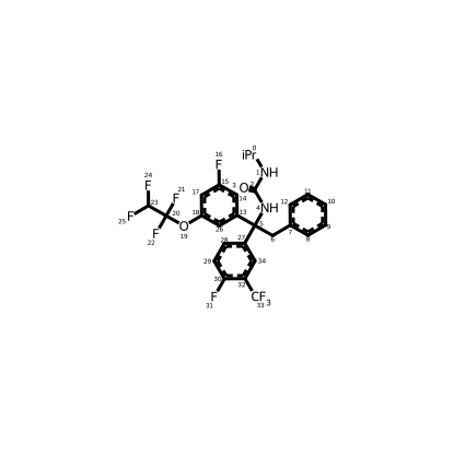 CC(C)NC(=O)NC(Cc1ccccc1)(c1cc(F)cc(OC(F)(F)C(F)F)c1)c1ccc(F)c(C(F)(F)F)c1